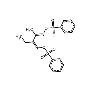 CCC(=NOS(=O)(=O)c1ccccc1)C(C)=NOS(=O)(=O)c1ccccc1